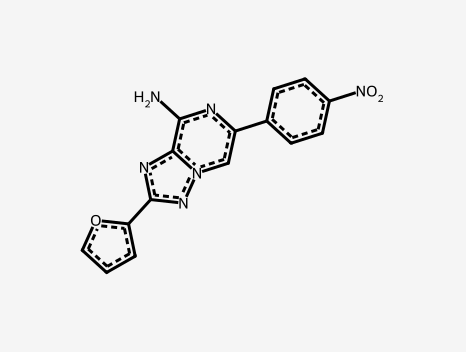 Nc1nc(-c2ccc([N+](=O)[O-])cc2)cn2nc(-c3ccco3)nc12